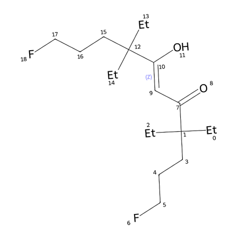 CCC(CC)(CCCF)C(=O)/C=C(\O)C(CC)(CC)CCCF